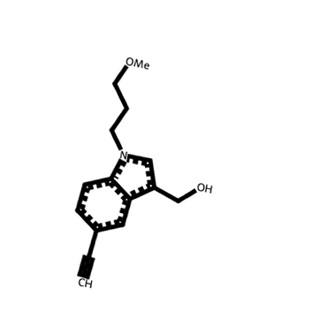 C#Cc1ccc2c(c1)c(CO)cn2CCCOC